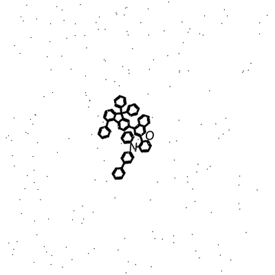 c1ccc(-c2ccc(N(c3ccccc3)c3cccc4oc5c6ccccc6c(-c6ccc7c(c6)C(c6ccccc6)(c6ccccc6)c6cccc(-c8ccccc8)c6-7)cc5c34)cc2)cc1